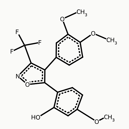 COc1ccc(-c2onc(C(F)(F)F)c2-c2ccc(OC)c(OC)c2)c(O)c1